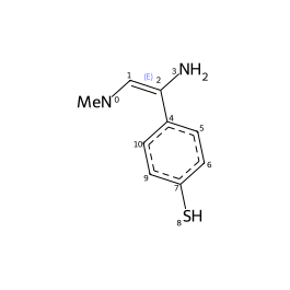 CN/C=C(/N)c1ccc(S)cc1